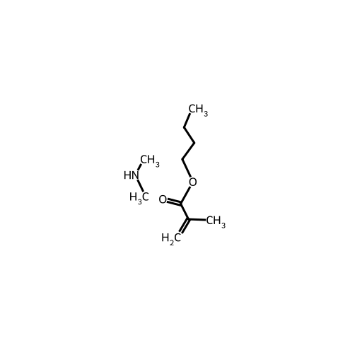 C=C(C)C(=O)OCCCC.CNC